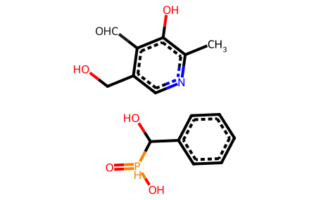 Cc1ncc(CO)c(C=O)c1O.O=[PH](O)C(O)c1ccccc1